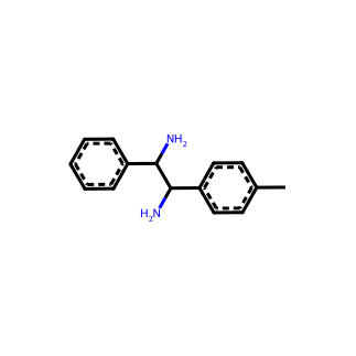 Cc1ccc(C(N)C(N)c2ccccc2)cc1